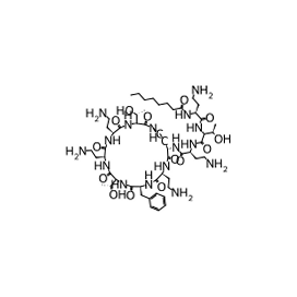 CCCCCCCC(=O)N[C@@H](CCN)C(=O)N[C@H](C(=O)N[C@@H](CCN)C(=O)N[C@H]1CCNC(=O)[C@H]([C@@H](C)O)NC(=O)[C@H](CCN)NC(=O)[C@H](CCN)NC(=O)[C@H]([C@@H](C)O)NC(=O)[C@H](Cc2ccccc2)NC(=O)[C@H](CCN)NC1=O)[C@@H](C)O